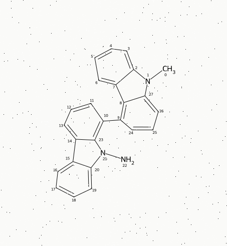 Cn1c2ccccc2c2c(-c3cccc4c5ccccc5n(N)c34)cccc21